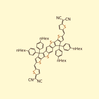 [C-]#[N+]C([N+]#[C-])=c1cc/c(=C\c2cc3c(s2)-c2sc4cc5c6c(sc5cc4c2C3(c2ccc(CCCCCC)cc2)c2ccc(CCCCCC)cc2)-c2sc(/C=c3\ccc(=C(C#N)C#N)s3)cc2C6(c2ccc(CCCCCC)cc2)c2ccc(CCCCCC)cc2)s1